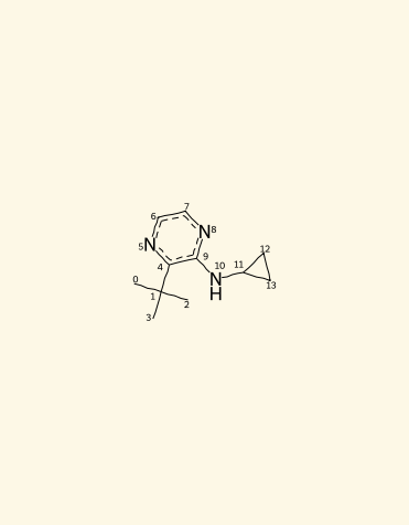 CC(C)(C)c1nccnc1NC1CC1